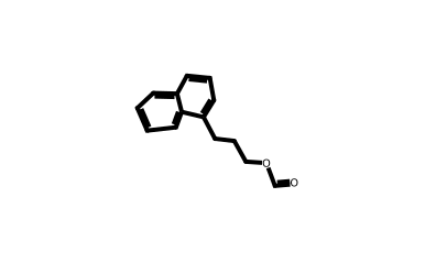 O=COCCCc1cccc2ccccc12